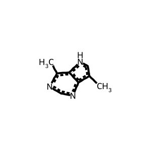 Cc1c[nH]c2c(C)ncnc12